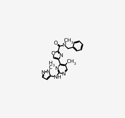 Cc1cnc(Nc2ccnn2C)nc1-c1coc(C(=O)N(C)Cc2ccccc2)n1